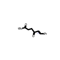 CC(C)/C=C/C(=O)CCC(=O)C(C)(C)C